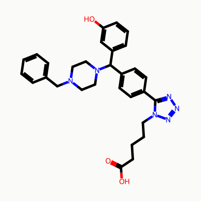 O=C(O)CCCCn1nnnc1-c1ccc(C(c2cccc(O)c2)N2CCN(Cc3ccccc3)CC2)cc1